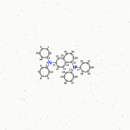 c1ccc(N(c2ccccc2)c2ccc3c(N(c4ccccc4)c4ccccc4)cccc3c2)cc1